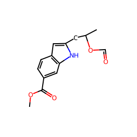 COC(=O)c1ccc2cc(CC(C)OC=O)[nH]c2c1